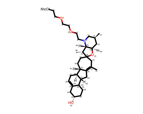 COCCOCCOCCN1C[C@@H](C)C[C@H]2OC3(CC[C@@H]4C(=C(C)C3)C[C@H]3[C@H]4CC=C4C[C@@H](O)CC[C@@]43C)[C@H](C)[C@@H]21